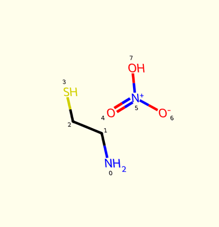 NCCS.O=[N+]([O-])O